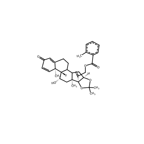 Cc1ccccc1C(=O)OCC(=O)[C@@]12OC(C)(C)O[C@@H]1CC1C3CCC4=CC(=O)C=C[C@]4(C)[C@@]3(F)[C@@H](O)C[C@@]12C